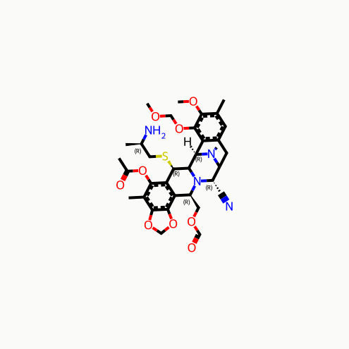 COCOc1c(OC)c(C)cc2c1[C@@H]1C3[C@H](SC[C@@H](C)N)c4c(OC(C)=O)c(C)c5c(c4[C@H](COC=O)N3[C@@H](C#N)C(C2)N1C)OCO5